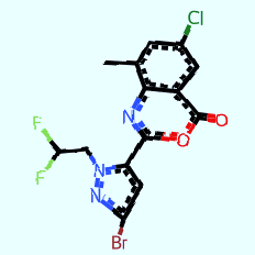 Cc1cc(Cl)cc2c(=O)oc(-c3cc(Br)nn3CC(F)F)nc12